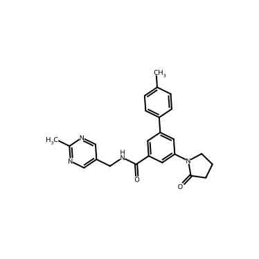 Cc1ccc(-c2cc(C(=O)NCc3cnc(C)nc3)cc(N3CCCC3=O)c2)cc1